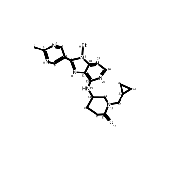 CCn1c(-c2cnc(C)nc2)nc2c(NC3CCC(=O)N(CC4CC4)C3)ncnc21